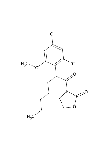 CCCCCC(C(=O)N1CCOC1=O)c1c(Cl)cc(Cl)cc1OC